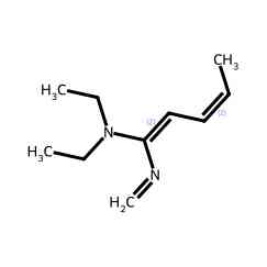 C=N/C(=C\C=C/C)N(CC)CC